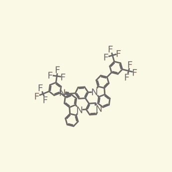 N#Cc1ccc(-n2c3ccccc3c3cc(-c4cc(C(F)(F)F)cc(C(F)(F)F)c4)ccc32)c(-c2cnccc2-n2c3ccccc3c3cc(-c4cc(C(F)(F)F)cc(C(F)(F)F)c4)ccc32)c1